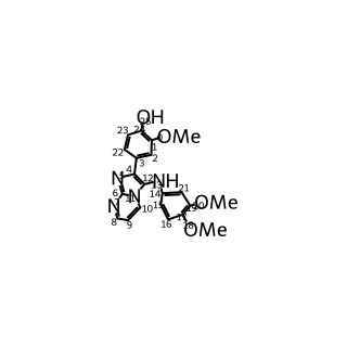 COc1cc(-c2nc3ncccn3c2Nc2ccc(OC)c(OC)c2)ccc1O